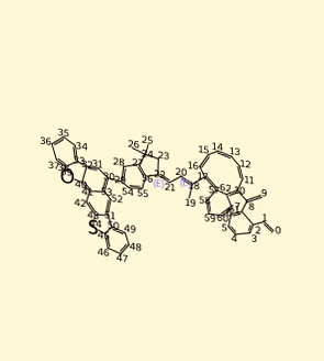 C=Cc1ccccc1C(=C)c1ccccccc(/C(C)=C/C=C2\CC(C)(C)c3cc(-c4cc5c6ccccc6oc5c5cc6sc7ccccc7c6cc45)ccc32)c2ccccc12